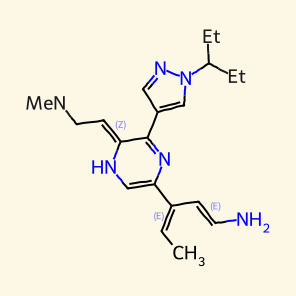 C/C=C(\C=C\N)C1=CN/C(=C\CNC)C(c2cnn(C(CC)CC)c2)=N1